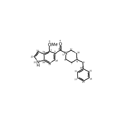 COc1c(C(=O)N2CCC(Cc3ccccc3)CC2)ccc2[nH]c[c]c12